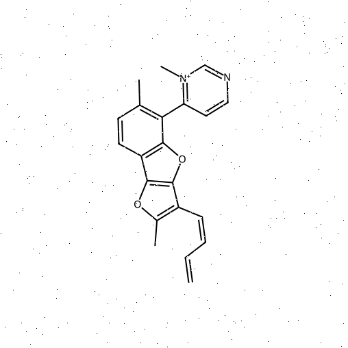 C=C/C=C\c1c(C)oc2c1oc1c(-c3ccnc[n+]3C)c(C)ccc12